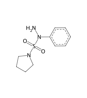 NN(c1ccccc1)S(=O)(=O)N1CCCC1